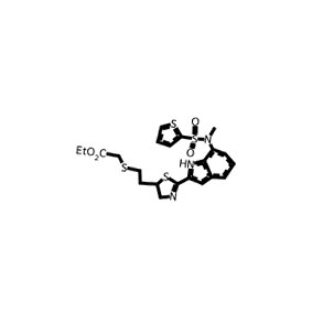 CCOC(=O)CSCCC1CN=C(c2cc3cccc(N(C)S(=O)(=O)c4cccs4)c3[nH]2)S1